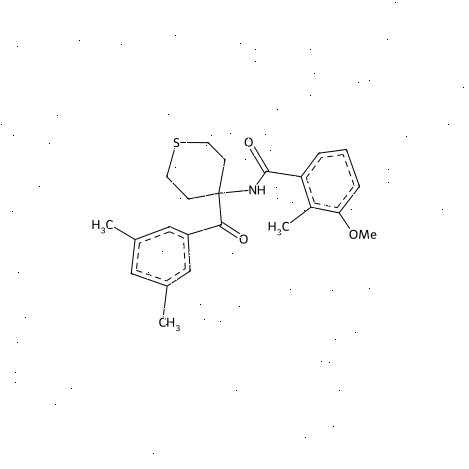 COc1cccc(C(=O)NC2(C(=O)c3cc(C)cc(C)c3)CCSCC2)c1C